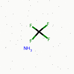 FC(F)(F)F.N